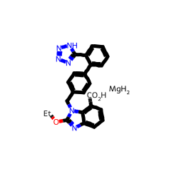 CCOc1nc2cccc(C(=O)O)c2n1Cc1ccc(-c2ccccc2-c2nnn[nH]2)cc1.[MgH2]